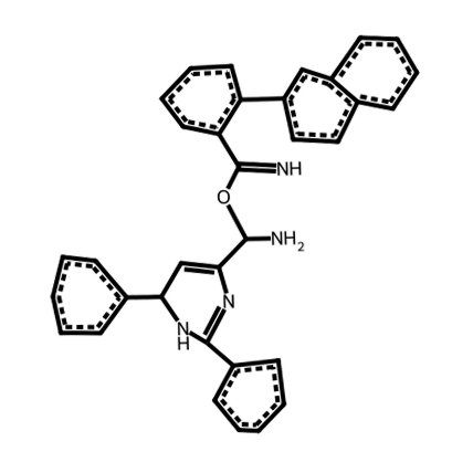 N=C(OC(N)C1=CC(c2ccccc2)NC(c2ccccc2)=N1)c1ccccc1-c1ccc2ccccc2c1